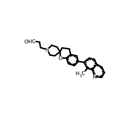 Cc1c(-c2ccc3c(c2)CCC2(CCN(CCC=O)CC2)O3)ccc2cccnc12